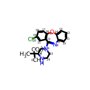 CC(C)(C(=O)O)C1CN(C2=Nc3ccccc3Oc3ccc(Cl)cc32)CCN1